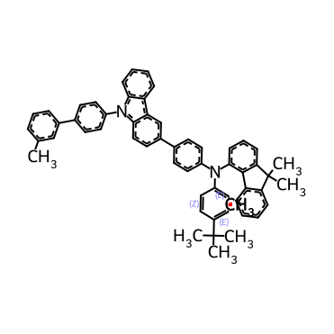 C\C=C(/C=C\C(=C/C)C(C)(C)C)N(c1ccc(-c2ccc3c(c2)c2ccccc2n3-c2ccc(-c3cccc(C)c3)cc2)cc1)c1cccc2c1-c1ccccc1C2(C)C